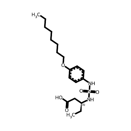 CCCCCCCCOc1ccc(NS(=O)(=O)N[C@@H](CC)CC(=O)O)cc1